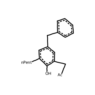 CCCCCc1cc(Cc2ccccc2)cc(CC(C)=O)c1O